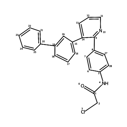 O=C(CCl)Nc1ccc(-c2ncccc2-c2cccc(-c3ccccc3)c2)cc1